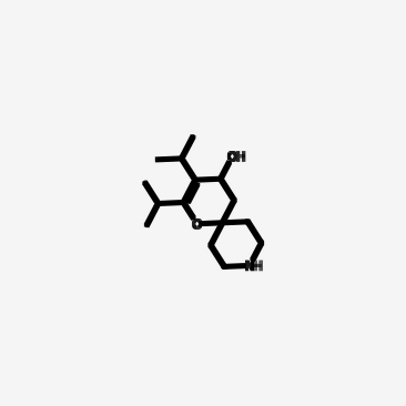 CC(C)C1=C(C(C)C)C(O)CC2(CCNCC2)O1